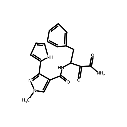 Cn1cc(C(=O)NC(Cc2ccccc2)C(=O)C(N)=O)c(-c2ccc[nH]2)n1